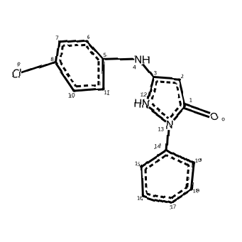 O=c1cc(Nc2ccc(Cl)cc2)[nH]n1-c1ccccc1